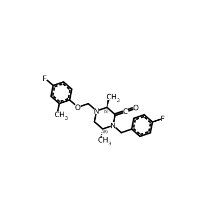 Cc1cc(F)ccc1OCN1C[C@@H](C)N(Cc2ccc(F)cc2)C(=C=O)[C@@H]1C